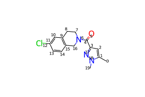 Cc1cc(C(=O)N2CCc3cc(Cl)ccc3C2)nn1C